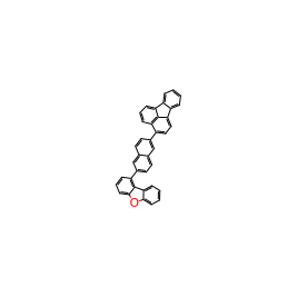 c1ccc2c(c1)-c1cccc3c(-c4ccc5cc(-c6cccc7oc8ccccc8c67)ccc5c4)ccc-2c13